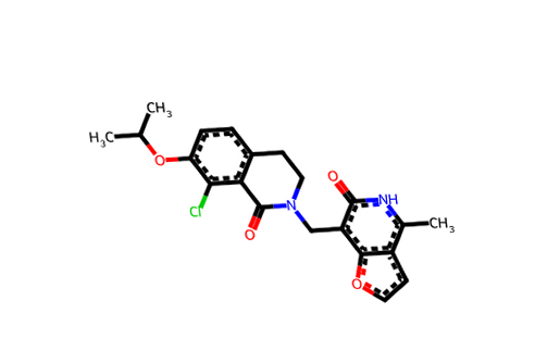 Cc1[nH]c(=O)c(CN2CCc3ccc(OC(C)C)c(Cl)c3C2=O)c2occc12